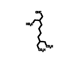 O=CCC(CCCCC(CC(=O)O)CC(=O)O)CC(=O)O